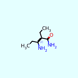 CC/C(N)=C(\CC)C(N)=O